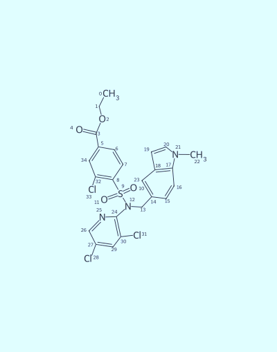 CCOC(=O)c1ccc(S(=O)(=O)N(Cc2ccc3c(ccn3C)c2)c2ncc(Cl)cc2Cl)c(Cl)c1